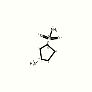 N[C@H]1CC[C@@H](S(N)(=O)=O)C1